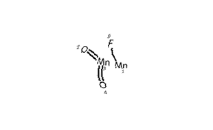 [F][Mn].[O]=[Mn]=[O]